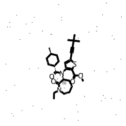 CCN1CCCC[C@H](N(c2cc(C#CC(C)(C)C)sc2C(=O)OC)C(=O)[C@H]2CC[C@H](C)CC2)C1=O